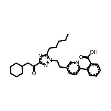 CCCCCc1nc(C(=O)CC2CCCCC2)nn1CCc1ccc(-c2ccccc2C(=O)O)nc1